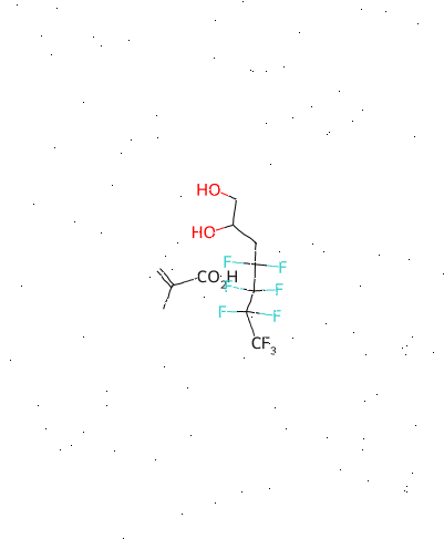 C=C(C)C(=O)O.OCC(O)CC(F)(F)C(F)(F)C(F)(F)C(F)(F)F